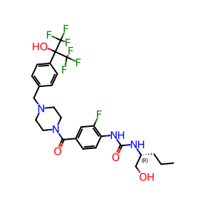 CCC[C@H](CO)NC(=O)Nc1ccc(C(=O)N2CCN(Cc3ccc(C(O)(C(F)(F)F)C(F)(F)F)cc3)CC2)cc1F